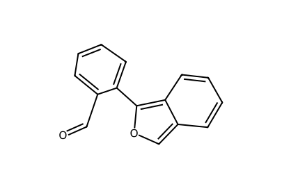 O=Cc1ccccc1-c1occ2ccccc12